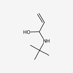 C=CC(O)NC(C)(C)C